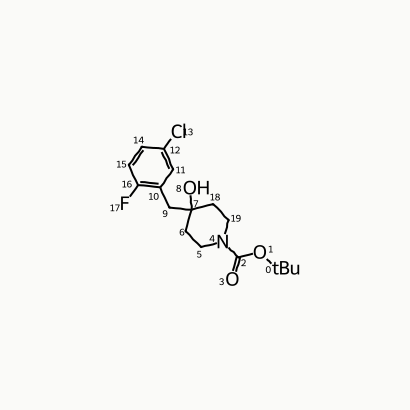 CC(C)(C)OC(=O)N1CCC(O)(Cc2cc(Cl)ccc2F)CC1